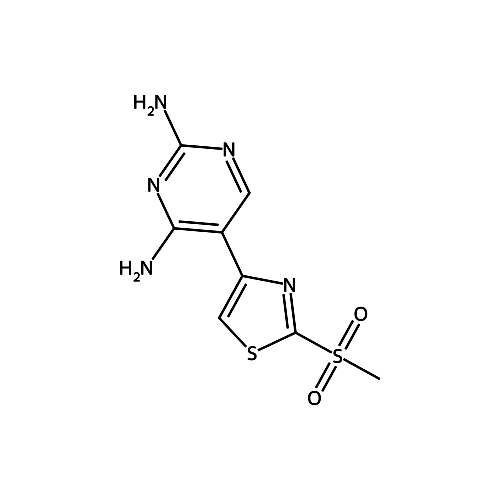 CS(=O)(=O)c1nc(-c2cnc(N)nc2N)cs1